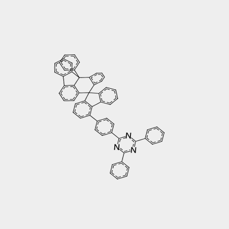 c1ccc(-c2nc(-c3ccccc3)nc(-c3ccc(-c4cccc5c4-c4ccccc4C54c5ccccc5C5(c6ccccc6)c6ccccc6-c6cccc4c65)cc3)n2)cc1